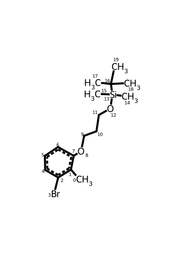 Cc1c(Br)cccc1OCCCO[Si](C)(C)C(C)(C)C